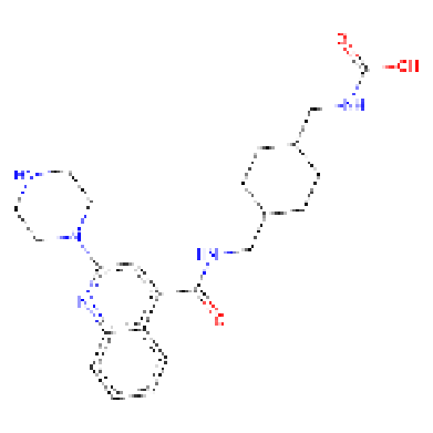 O=C(O)NCC1CCC(CNC(=O)c2cc(N3CCNCC3)nc3ccccc23)CC1